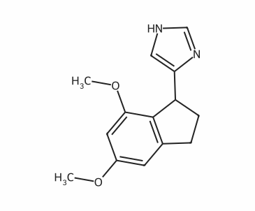 COc1cc2c(c(OC)c1)C(c1c[nH]cn1)CC2